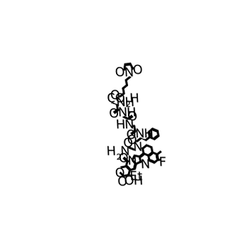 CC[C@@]1(O)C(=O)OCc2c1cc1n(c2=O)Cc2c-1nc1cc(F)c(C)c3c1c2[C@@H](N(CC(N)=O)C(=O)[C@H](Cc1ccccc1)NC(=O)CNC(=O)CNC(=O)[C@@H](CC(=O)O)NC(=O)CCCCCN1C(=O)C=CC1=O)CC3